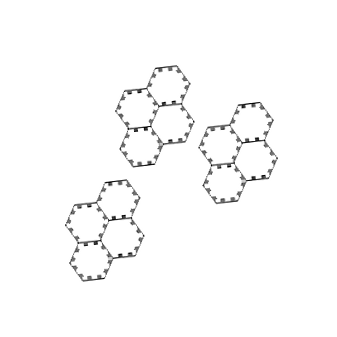 c1cc2ccc3cccc4ccc(c1)c2c34.c1cc2ccc3cccc4ccc(c1)c2c34.c1cc2ccc3cccc4ccc(c1)c2c34